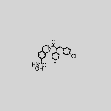 O=C(NO)c1ccc2c(c1)CN(C(=O)C(=Cc1ccc(Cl)cc1)c1ccc(F)cc1)CC2